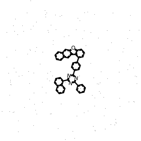 c1ccc(-c2nc(-c3ccc(-c4cccc5oc6cc7ccccc7cc6c45)cc3)nc(-c3cccc4ccccc34)n2)cc1